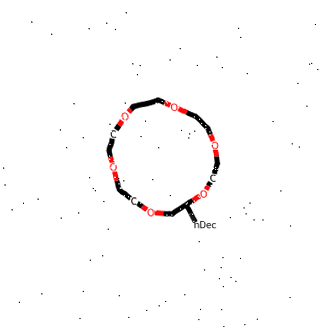 CCCCCCCCCCC1COCCOCCOCCOCCOCCO1